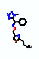 CCCC/C=C/c1nc(CO/N=C(\c2ccccc2)c2nnnn2C)cs1